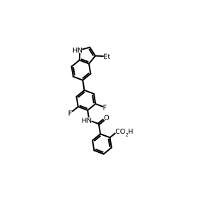 CCc1c[nH]c2ccc(-c3cc(F)c(NC(=O)c4ccccc4C(=O)O)c(F)c3)cc12